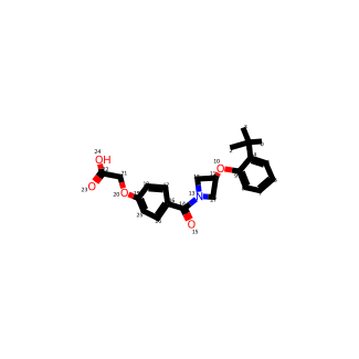 CC(C)(C)c1ccccc1OC1CN(C(=O)c2ccc(OCC(=O)O)cc2)C1